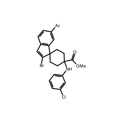 COC(=O)C1(Nc2cccc(Cl)c2)CCC2(CC1)C(Br)=Cc1ccc(C(C)=O)cc12